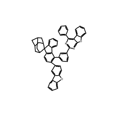 c1ccc(-c2nc(-c3cccc(-c4c(-c5ccc6oc7ccccc7c6c5)ccc5c4-c4ccccc4C54C5CC6CC(C5)CC4C6)c3)nc3oc4ccccc4c23)cc1